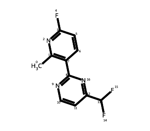 Cc1nc(F)ccc1-c1nccc(C(F)F)n1